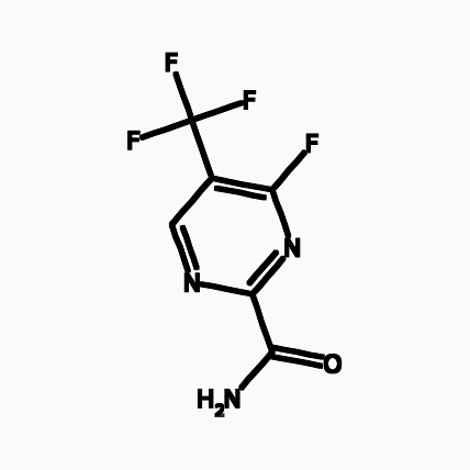 NC(=O)c1ncc(C(F)(F)F)c(F)n1